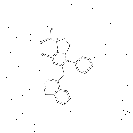 O=C(O)[C@@H]1CSc2c(-c3ccccc3)c(Cc3cccc4ccccc34)cc(=O)n21